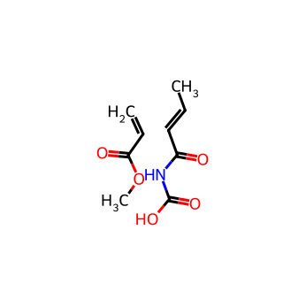 C=CC(=O)OC.CC=CC(=O)NC(=O)O